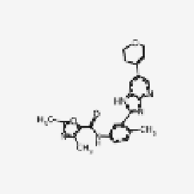 Cc1nc(C)c(C(=O)Nc2ccc(C)c(-c3nc4ncc(C5=CCOCC5)cc4[nH]3)c2)o1